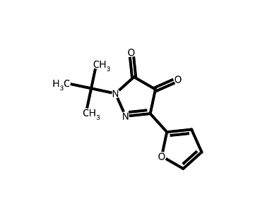 CC(C)(C)N1N=C(c2ccco2)C(=O)C1=O